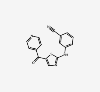 N#Cc1cccc(Nc2ncc(C(=O)c3ccncc3)s2)c1